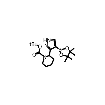 CC(C)(C)OC(=O)N1CCCCC1c1n[nH]cc1B1OC(C)(C)C(C)(C)O1